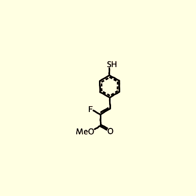 COC(=O)C(F)=Cc1ccc(S)cc1